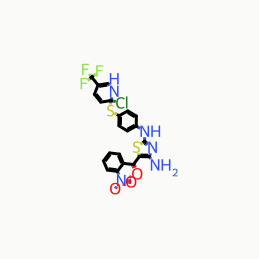 Nc1nc(Nc2ccc(SC3(Cl)C=CC(C(F)(F)F)=CN3)cc2)sc1C(=O)c1ccccc1[N+](=O)[O-]